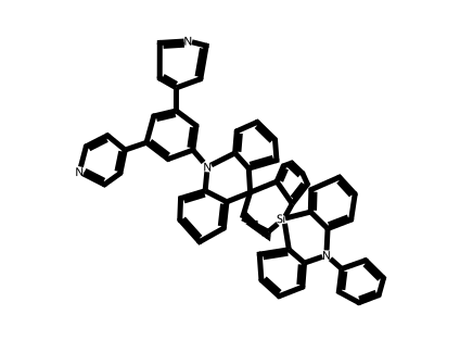 c1ccc(N2c3ccccc3[Si]3(c4ccccc42)c2ccccc2C2(c4ccccc4N(c4cc(-c5ccncc5)cc(-c5ccncc5)c4)c4ccccc42)c2ccccc23)cc1